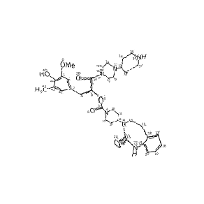 COc1cc(CC(OC(=O)N2CCC(N3CCc4ccccc4NC3=O)CC2)C(=O)N2CCN(C3CCNCC3)CC2)cc(C)c1O